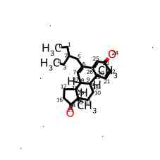 CCC(CC)CC1=C[C@@H]2[C@H](CC[C@]3(C)C(=O)CC[C@@H]23)[C@@]2(C)C=CC(=O)C=C12